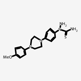 COc1ccc(N2CCN(c3ccc(N(N)C(N)=S)cc3)CC2)cc1